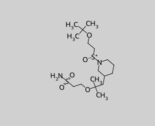 CC(C)(C)OCC[S+]([O-])N1CCCC(CC(C)(C)OCCS(N)(=O)=O)C1